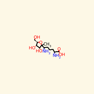 CC1(C(N)CCCC(N)C(=O)O)O[C@H](CO)[C@@H](O)[C@@H]1O